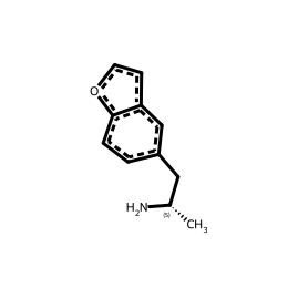 C[C@H](N)Cc1ccc2occc2c1